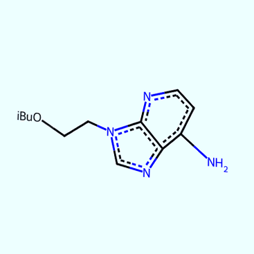 CC(C)COCCn1cnc2c(N)ccnc21